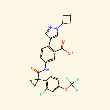 O=C(O)c1cc(NC(=O)C2(c3ccc(OC(F)(F)F)cc3F)CC2)ccc1-c1cnn(C2CCC2)c1